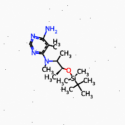 Cc1c(N)ncnc1N(C)C(C)[C@H](C)O[Si](C)(C)C(C)(C)C